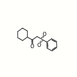 O=C(CS(=O)(=O)c1ccccc1)C1CCCCC1